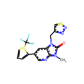 Cn1c(=O)n(Cc2csnn2)c2cc(C3=CC=C[SH]3C(F)(F)F)cnc21